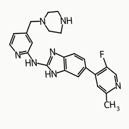 Cc1cc(-c2ccc3nc(Nc4cc(CN5CCNCC5)ccn4)[nH]c3c2)c(F)cn1